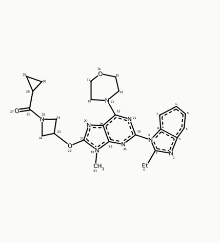 CCc1nc2ccccc2n1-c1nc(N2CCOCC2)c2nc(OC3CN(C(=O)C4CC4)C3)n(C)c2n1